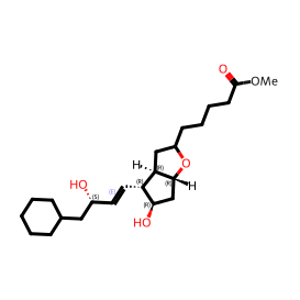 COC(=O)CCCCC1C[C@@H]2[C@@H](/C=C/[C@@H](O)CC3CCCCC3)[C@H](O)C[C@H]2O1